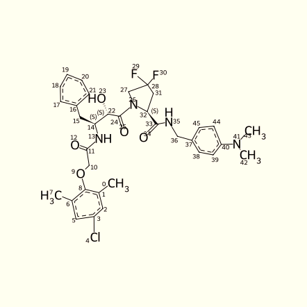 Cc1cc(Cl)cc(C)c1OCC(=O)N[C@@H](Cc1ccccc1)[C@H](O)C(=O)N1CC(F)(F)C[C@H]1C(=O)NCc1ccc(N(C)C)cc1